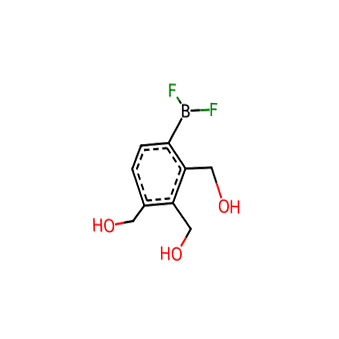 OCc1ccc(B(F)F)c(CO)c1CO